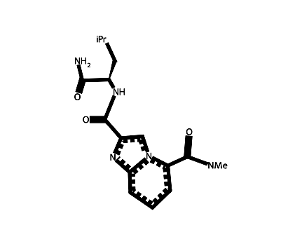 CNC(=O)c1cccc2nc(C(=O)N[C@H](CC(C)C)C(N)=O)cn12